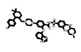 CN1CCC(Nc2ccc(S(=O)(=O)NC(=O)c3ccc(N4CCN(CC5=C(c6ccc(Cl)cc6)CC(C)(C)CC5)CC4)cc3Oc3cccc4[nH]cnc34)cc2[N+](=O)[O-])CC1